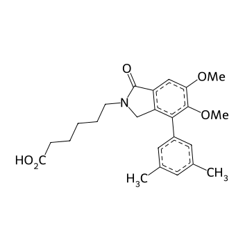 COc1cc2c(c(-c3cc(C)cc(C)c3)c1OC)CN(CCCCCC(=O)O)C2=O